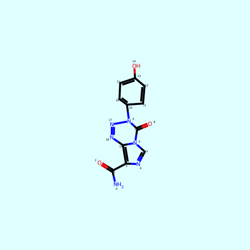 NC(=O)c1ncn2c(=O)n(-c3ccc(O)cc3)nnc12